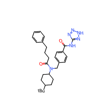 CC(C)(C)C1CCC(N(Cc2ccc(C(=O)Nc3nn[nH]n3)cc2)C(=O)CCCc2ccccc2)CC1